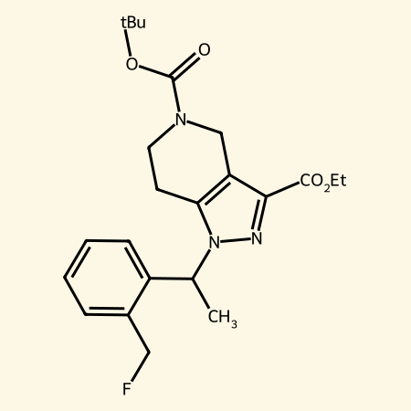 CCOC(=O)c1nn(C(C)c2ccccc2CF)c2c1CN(C(=O)OC(C)(C)C)CC2